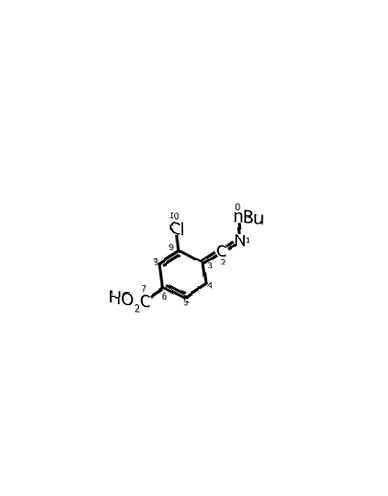 CCCCN=C=C1CC=C(C(=O)O)C=C1Cl